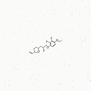 C=CC1CCC(CC(F)COc2ccc(OCC)c(F)c2F)OC1